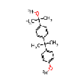 [2H]Oc1ccc(C(C)(C)c2ccc(C(C)(C)O[2H])cc2)cc1